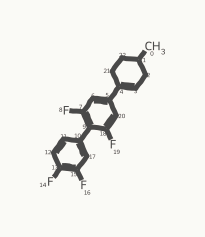 CC1CC=C(c2cc(F)c(-c3ccc(F)c(F)c3)c(F)c2)CC1